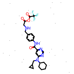 O=C(CNCc1ccc(NC(=O)c2cc(N(CC3CC3)C3CCCCC3)ncn2)cc1)OC(=O)C(F)(F)F